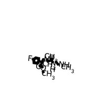 CCOC(=O)C(C)(CN(C)CC(=O)NCCNC)c1ccc(F)cc1